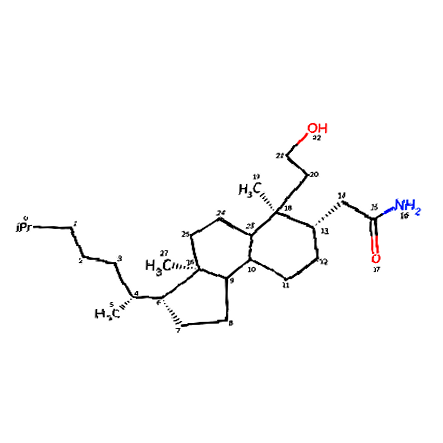 CC(C)CCC[C@@H](C)[C@H]1CCC2C3CC[C@@H](CC(N)=O)[C@](C)(CCO)C3CC[C@@]21C